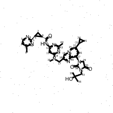 Cc1ccnc([C@H]2C[C@@H]2C(=O)Nc2cc(N(C)Cc3cn4cc(C5CC5)cc(N5CC(=O)N(CC(C)(C)O)C5=O)c4n3)nc(C)n2)n1